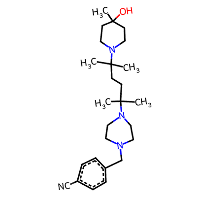 CC1(O)CCN(C(C)(C)CCC(C)(C)N2CCN(Cc3ccc(C#N)cc3)CC2)CC1